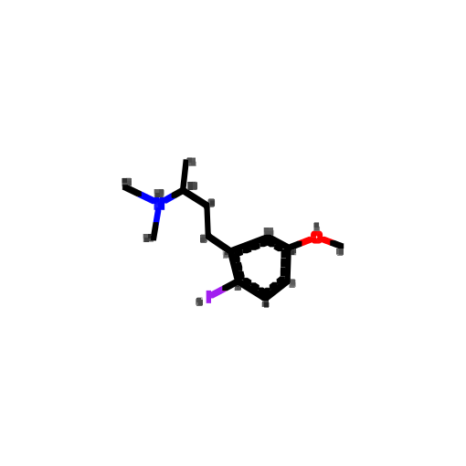 COc1ccc(I)c(CCC(C)N(C)C)c1